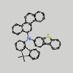 CC1(C)c2ccccc2-c2c(N(c3ccc4c(c3)sc3ccccc34)c3cc4c5ccccc5ccc4c4ccccc34)cccc21